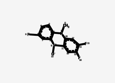 CN1c2ccc(F)cc2[S+]([O-])c2cc(F)c(F)cc21